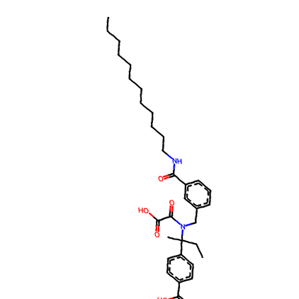 CCCCCCCCCCCCNC(=O)c1cccc(CN(C(=O)C(=O)O)C(C)(CC)c2ccc(C(=O)O)cc2)c1